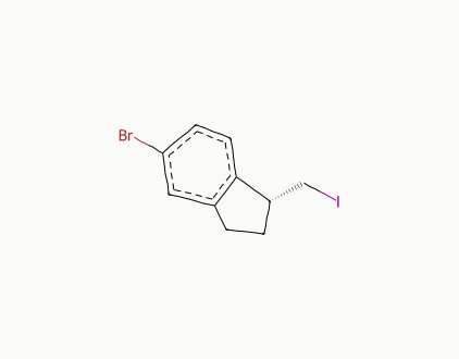 Brc1ccc2c(c1)CC[C@H]2CI